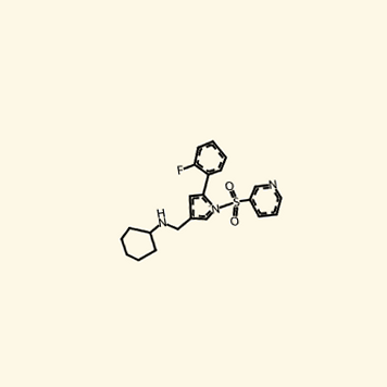 O=S(=O)(c1cccnc1)n1cc(CNC2CCCCC2)cc1-c1ccccc1F